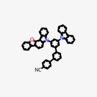 N#Cc1ccc(-c2cccc(-c3cc(-n4c5ccccc5c5ccccc54)cc(-n4c5ccccc5c5c6oc7ccccc7c6ccc54)c3)c2)cc1